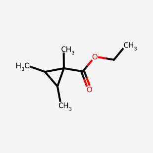 CCOC(=O)C1(C)C(C)C1C